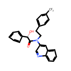 O=C([C@@H](O)c1ccccc1)N(CCc1ccc(C(F)(F)F)cc1)c1cnc2ccccc2c1